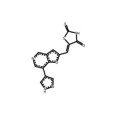 O=C1NC(=S)S/C1=C\c1cc2cncc(-c3cn[nH]c3)c2o1